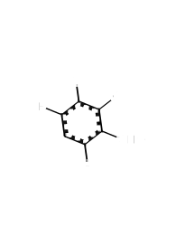 O=Cc1c(F)cc(F)c(Cl)c1C(F)(F)F